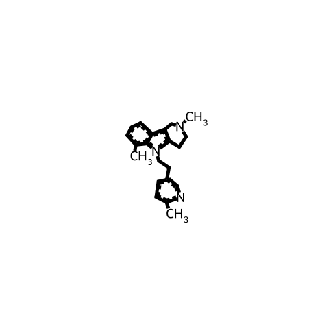 Cc1ccc(CCn2c3c(c4cccc(C)c42)CN(C)CC3)cn1